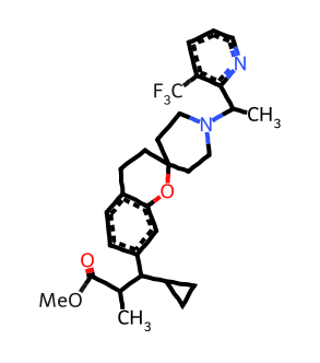 COC(=O)C(C)C(c1ccc2c(c1)OC1(CC2)CCN(C(C)c2ncccc2C(F)(F)F)CC1)C1CC1